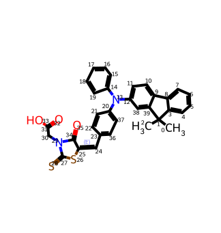 CC1(C)c2ccccc2-c2ccc(N(c3ccccc3)c3ccc(/C=C4/SC(=S)N(CC(=O)O)C4=O)cc3)cc21